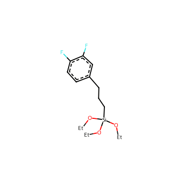 CCO[Si](CCCc1ccc(F)c(F)c1)(OCC)OCC